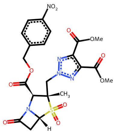 COC(=O)c1nn(C[C@@]2(C)[C@H](C(=O)OCc3ccc([N+](=O)[O-])cc3)N3C(=O)C[C@H]3S2(=O)=O)nc1C(=O)OC